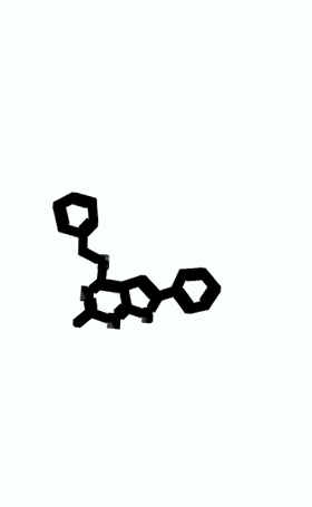 Cc1nc(SCc2ccccc2)c2cc(-c3ccccc3)sc2n1